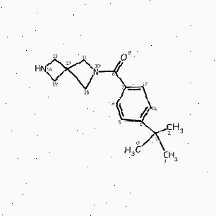 CC(C)(C)c1ccc(C(=O)N2CC3(CNC3)C2)cc1